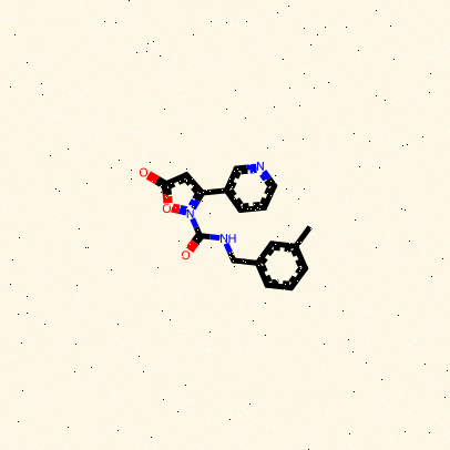 Cc1cccc(CNC(=O)n2oc(=O)cc2-c2cccnc2)c1